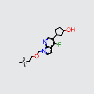 C[Si](C)(C)CCOCn1ccc2c(F)c(C3CCC(O)C3)cnc21